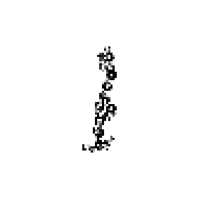 CCOc1cc(-c2ccc(N3CCC(CN4CCN(C5CN(C6CCN(c7ccc8c(c7)C(=O)N(C7CCC(=O)NC7=O)C8)CC6)C5)CC4)(NC(=O)c4cc(F)ccc4F)CC3)nc2)c2c(C#N)cnn2c1